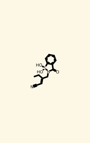 CC/C(=C\C#N)CN1C(=O)c2ccccc2S1(O)O